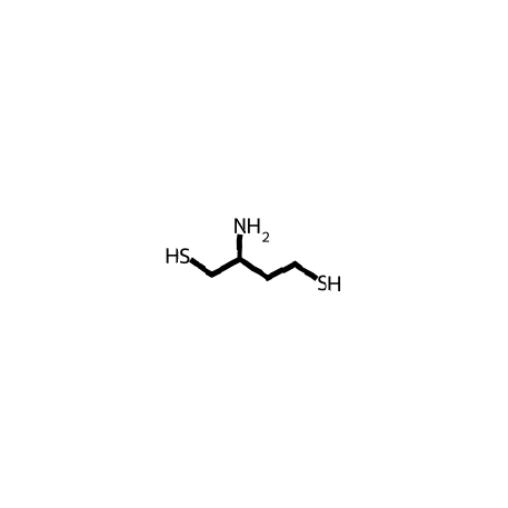 NC(CS)CCS